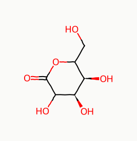 O=C1OC(CO)[C@@H](O)[C@@H](O)C1O